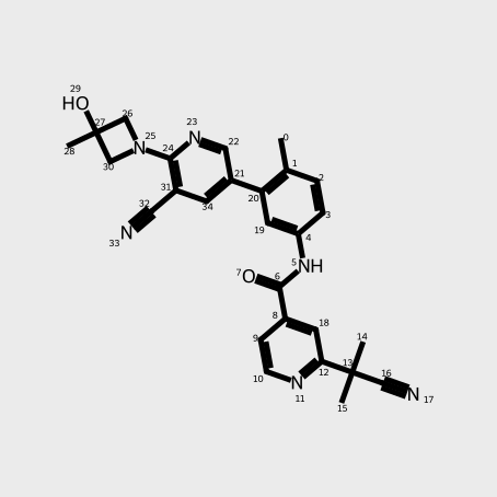 Cc1ccc(NC(=O)c2ccnc(C(C)(C)C#N)c2)cc1-c1cnc(N2CC(C)(O)C2)c(C#N)c1